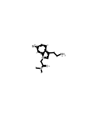 CN(C)C(=O)Cn1cc(CCN)c2ccc(Br)cc21